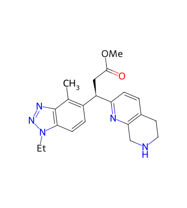 CCn1nnc2c(C)c([C@@H](CC(=O)OC)c3ccc4c(n3)CNCC4)ccc21